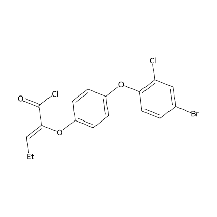 CC/C=C(\Oc1ccc(Oc2ccc(Br)cc2Cl)cc1)C(=O)Cl